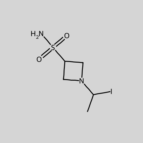 CC(I)N1CC(S(N)(=O)=O)C1